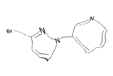 Brc1ccn(-c2cccnc2)n1